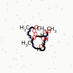 COC(=O)/C=C1\C[C@H]2CC(=O)O[C@@H](/C=C/C=C\C=C(/C)CC(=O)OC)[C@@H](C)/C=C/CC[C@H]3CCC[C@@H](C[C@@H](C1)O2)O3